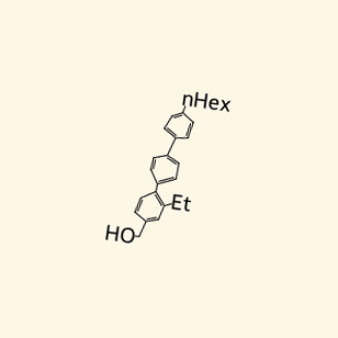 CCCCCCc1ccc(-c2ccc(-c3ccc(CO)cc3CC)cc2)cc1